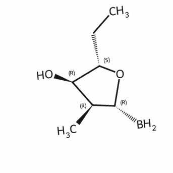 B[C@H]1O[C@@H](CC)[C@H](O)[C@@H]1C